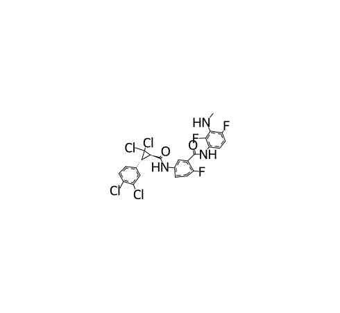 CNc1c(F)ccc(NC(=O)c2cc(NC(=O)[C@H]3[C@H](c4ccc(Cl)c(Cl)c4)C3(Cl)Cl)ccc2F)c1F